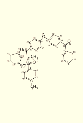 Cc1ccc(S(=O)(=O)C(C)(C(=O)c2ccc(Oc3ccc(C(=O)c4ccccc4)cc3)cc2)c2ccccc2)cc1